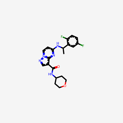 CC(Nc1ccn2ncc(C(=O)NC3CCOCC3)c2n1)c1cc(F)ccc1F